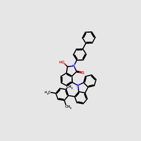 Cc1cc(C)c(-c2cccc3c4ccccc4n(-c4cccc5c4C(=O)N(c4ccc(-c6ccccc6)cc4)C5O)c23)c(C)c1